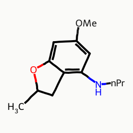 CCCNc1cc(OC)cc2c1CC(C)O2